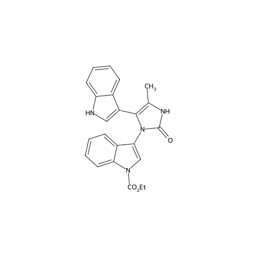 CCOC(=O)n1cc(-n2c(-c3c[nH]c4ccccc34)c(C)[nH]c2=O)c2ccccc21